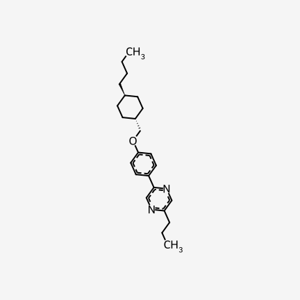 CCCC[C@H]1CC[C@H](COc2ccc(-c3cnc(CCC)cn3)cc2)CC1